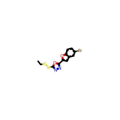 CCSSc1nnc(-c2cc3cc(Br)ccc3o2)o1